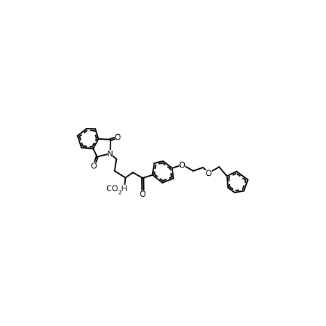 O=C(CC(CCN1C(=O)c2ccccc2C1=O)C(=O)O)c1ccc(OCCOCc2ccccc2)cc1